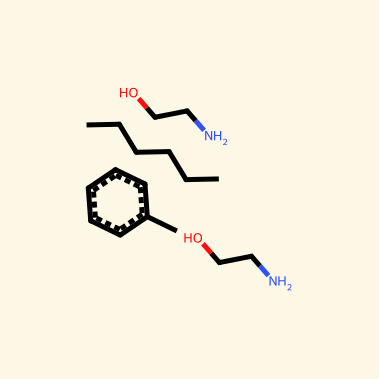 CCCCCC.Cc1ccccc1.NCCO.NCCO